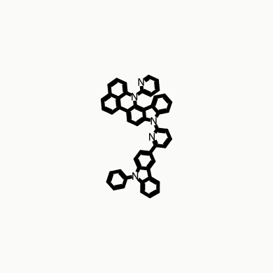 c1ccc(-n2c3ccccc3c3cc(-c4cccc(-n5c6ccccc6c6c7c(ccc65)-c5cccc6cccc(c56)N7c5ccccn5)n4)ccc32)cc1